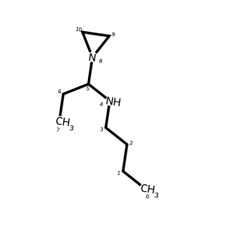 CCCCNC(CC)N1CC1